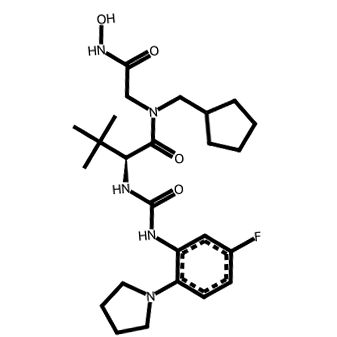 CC(C)(C)[C@H](NC(=O)Nc1cc(F)ccc1N1CCCC1)C(=O)N(CC(=O)NO)CC1CCCC1